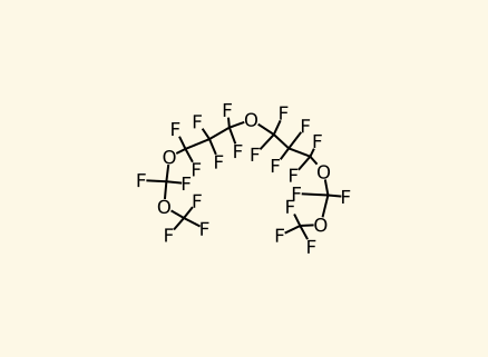 FC(F)(F)OC(F)(F)OC(F)(F)C(F)(F)C(F)(F)OC(F)(F)C(F)(F)C(F)(F)OC(F)(F)OC(F)(F)F